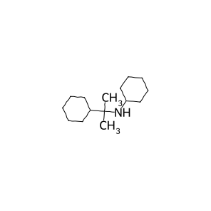 CC(C)(NC1CCCCC1)C1CCCCC1